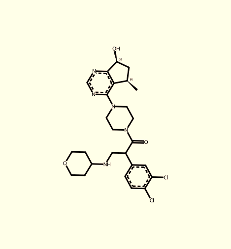 C[C@@H]1C[C@H](O)c2ncnc(N3CCN(C(=O)C(CNC4CCOCC4)c4ccc(Cl)c(Cl)c4)CC3)c21